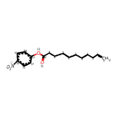 C=CCCCCCCCCC(=O)Oc1ccc([N+](=O)[O-])cc1